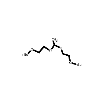 [CH2]C(OCCOCCCC)OCCOCCCC